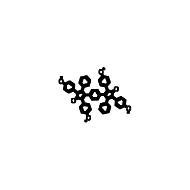 COc1ccc(C2=C(c3ccccc3)C(c3ccc(C4=C(c5ccc(OC)cc5)C(=O)C(c5ccc(OC)cc5)=C4c4ccccc4)cc3)=C(c3ccc(OC)cc3)C2=O)cc1